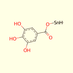 O=C([O][SnH])c1cc(O)c(O)c(O)c1